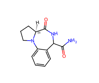 NC(=O)C1NC(=O)[C@@H]2CCCN2c2ccccc21